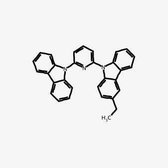 CCc1ccc2c(c1)c1ccccc1n2-c1cccc(-n2c3ccccc3c3ccccc32)n1